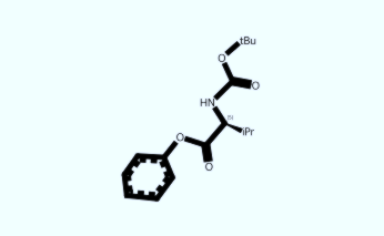 CC(C)[C@H](NC(=O)OC(C)(C)C)C(=O)Oc1ccccc1